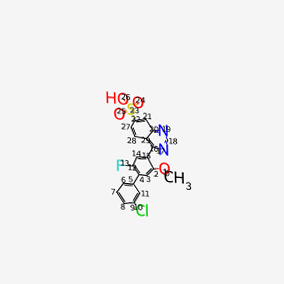 COc1cc(-c2cccc(Cl)c2)c(F)cc1-c1ncnc2cc(S(=O)(=O)O)ccc12